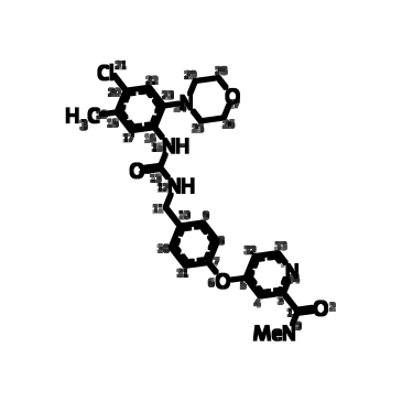 CNC(=O)c1cc(Oc2ccc(CNC(=O)Nc3cc(C)c(Cl)cc3N3CCOCC3)cc2)ccn1